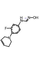 O/N=C/Nc1ccc(N2CC=CCC2)c(F)c1